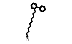 N#CCCCCCCCCCCc1ccccc1-c1ccccc1